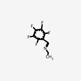 CC/N=C/c1c(F)c(F)c(F)c(F)c1F